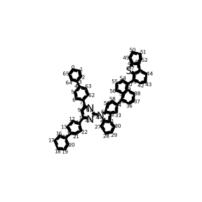 c1ccc(-c2ccc(-c3cc(-c4ccc(-c5ccccc5)cc4)nc(-n4c5ccccc5c5cc(-c6cccc7c(-c8cccc9c8sc8ccccc89)cccc67)ccc54)n3)cc2)cc1